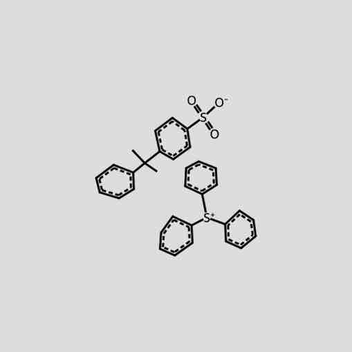 CC(C)(c1ccccc1)c1ccc(S(=O)(=O)[O-])cc1.c1ccc([S+](c2ccccc2)c2ccccc2)cc1